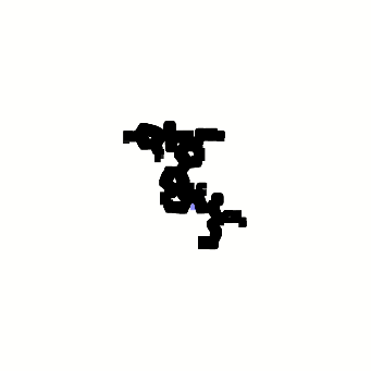 COc1ncc(-c2ccc3nccc(/C(C)=C/C(=O)N(C)CCO)c3c2)cc1NS(=O)(=O)c1ccc(F)cc1F